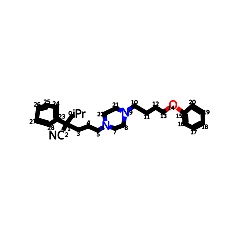 CC(C)C(C#N)(CCCN1CCN(CCCCOc2ccccc2)CC1)c1ccccc1